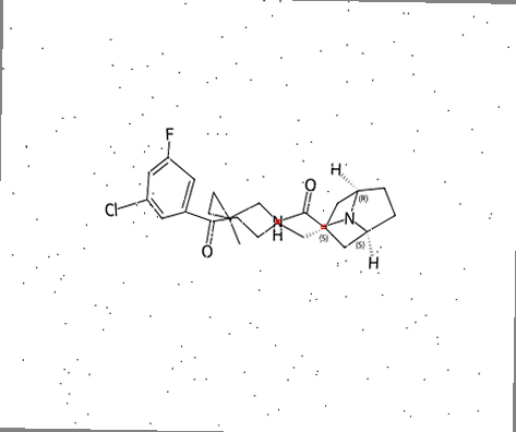 CC1(CNC(=O)CN2[C@@H]3CC[C@H]2C[C@H](CCCCC(=O)c2cc(F)cc(Cl)c2)C3)CC1